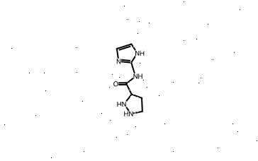 O=C(Nc1ncc[nH]1)C1CCNN1